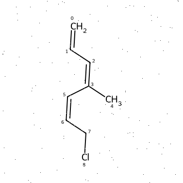 C=C/C=C(C)\C=C/CCl